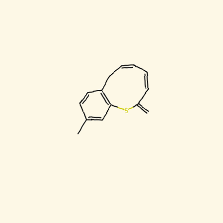 C=C1/C=C\C=C/Cc2ccc(C)cc2S1